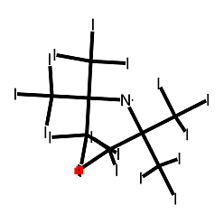 IC(I)(I)C([N]C(C(I)(I)I)(C(I)(I)I)C(I)(I)I)(C(I)(I)I)C(I)(I)I